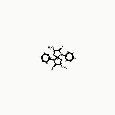 CC1CC2(CC(C)C(=O)N2c2ccccc2)N(c2ccccc2)C1=O